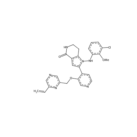 C=Cc1cncc(COc2cnccc2-c2cc3c(n2Nc2cccc(Cl)c2OC)CCNC3=O)n1